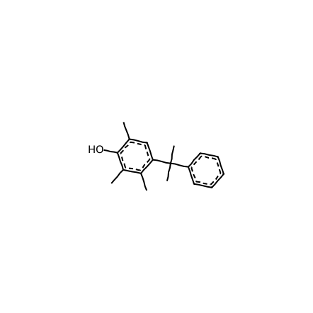 Cc1cc(C(C)(C)c2ccccc2)c(C)c(C)c1O